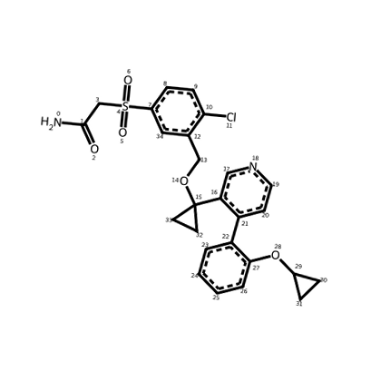 NC(=O)CS(=O)(=O)c1ccc(Cl)c(COC2(c3cnccc3-c3ccccc3OC3CC3)CC2)c1